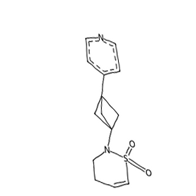 O=S1(=O)C=CCCN1C12CC(c3ccncc3)(C1)C2